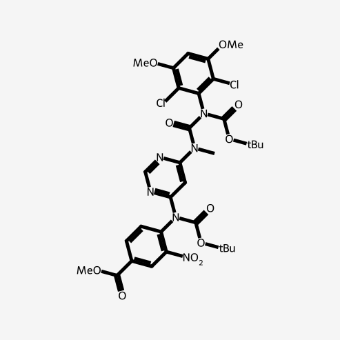 COC(=O)c1ccc(N(C(=O)OC(C)(C)C)c2cc(N(C)C(=O)N(C(=O)OC(C)(C)C)c3c(Cl)c(OC)cc(OC)c3Cl)ncn2)c([N+](=O)[O-])c1